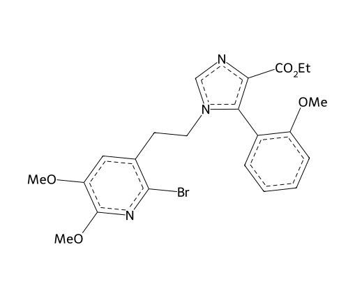 CCOC(=O)c1ncn(CCc2cc(OC)c(OC)nc2Br)c1-c1ccccc1OC